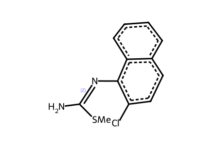 CS/C(N)=N\c1c(Cl)ccc2ccccc12